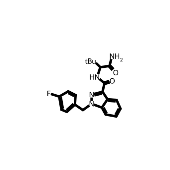 CC(C)(C)C(NC(=O)c1nn(Cc2ccc(F)cc2)c2ccccc12)C(N)=O